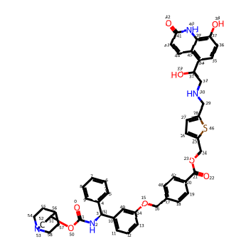 O=C(N[C@@H](c1ccccc1)c1cccc(OCc2ccc(C(=O)OCc3ccc(CNCC(O)c4ccc(O)c5[nH]c(=O)ccc45)s3)cc2)c1)OC1CN2CCC1CC2